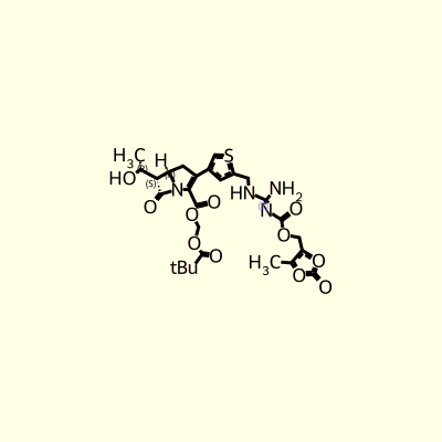 Cc1oc(=O)oc1COC(=O)/N=C(\N)NCc1cc(C2=C(C(=O)OCOC(=O)C(C)(C)C)N3C(=O)[C@H]([C@@H](C)O)[C@H]3C2)cs1